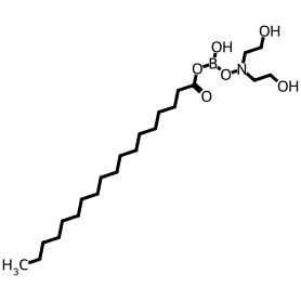 CCCCCCCCCCCCCCCCCC(=O)OB(O)ON(CCO)CCO